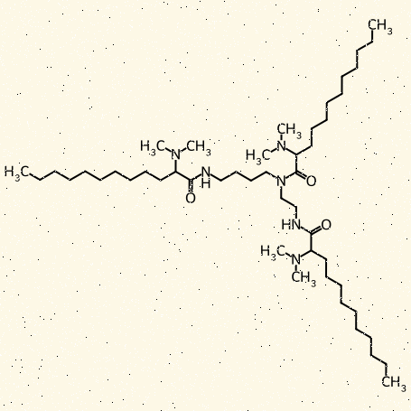 CCCCCCCCCCC(C(=O)NCCCCN(CCNC(=O)C(CCCCCCCCCC)N(C)C)C(=O)C(CCCCCCCCCC)N(C)C)N(C)C